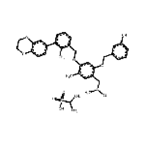 CC(C)S(=O)(=O)O.CCN(C)Cc1cc(C)c(OCc2cccc(-c3ccc4c(c3)OCCO4)c2C)cc1OCc1cccc(C#N)c1